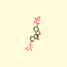 COC(C)OC(C)c1ccc2c(c1)sc1sc3cc(C(C)OC(C)OC)ccc3c12